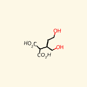 O=C(O)C(C(=O)O)C(CO)CCO